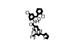 O=C(Nc1ccc(Cl)cc1C(=O)c1ccccc1Cl)c1cc2nc(-c3cccs3)cc(C(F)(F)F)n2n1